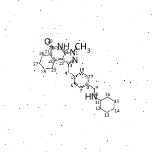 Cn1nc(Cc2ccc(CNC3CCCCC3)cc2)c2c3c(c(=O)[nH]c21)CCCC3